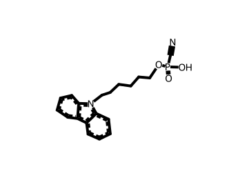 N#CP(=O)(O)OCCCCCCn1c2ccccc2c2ccccc21